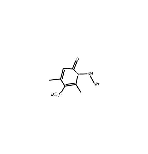 CCCNn1c(C)c(C(=O)OCC)c(C)cc1=O